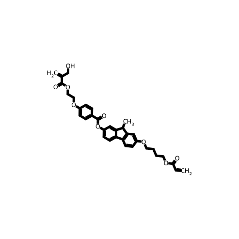 C=CC(=O)OCCCCOc1ccc2c(c1)C(C)c1cc(OC(=O)c3ccc(OCCOC(=O)C(=C)CO)cc3)ccc1-2